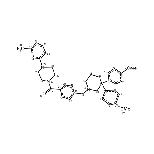 COc1ccc(C2(c3ccc(OC)cc3)CCCN(Cc3ccc(C(=O)N4CCN(c5cccc(C(F)(F)F)c5)CC4)cc3)C2)cc1